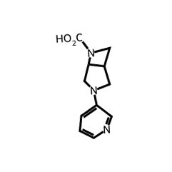 O=C(O)N1CC2CN(c3cccnc3)CC21